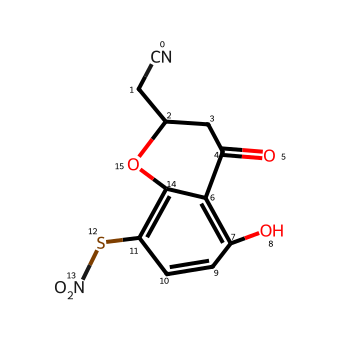 N#CCC1CC(=O)c2c(O)ccc(S[N+](=O)[O-])c2O1